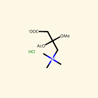 COC(CC(=O)[O-])(C[N+](C)(C)C)OC(C)=O.Cl